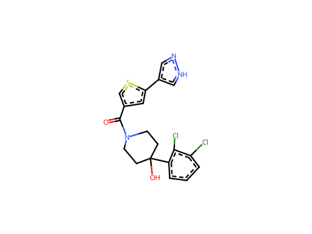 O=C(c1csc(-c2cn[nH]c2)c1)N1CCC(O)(c2cccc(Cl)c2Cl)CC1